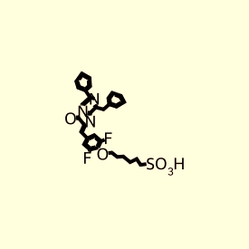 O=C1/C(=C/c2cc(F)c(OCCCCCCS(=O)(=O)O)c(F)c2)N=C2C(Cc3ccccc3)=NC(c3ccccc3)=CN12